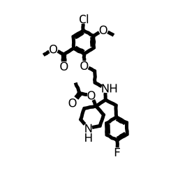 COC(=O)c1cc(Cl)c(OC)cc1OCCNC(Cc1ccc(F)cc1)C1(OC(C)=O)CCNCC1